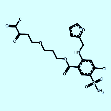 NS(=O)(=O)c1cc(C(=O)OCCCOCCC(=O)C(=O)Cl)c(NCc2ccco2)cc1Cl